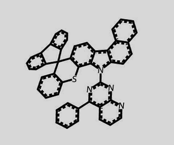 c1ccc(-c2nc(-n3c4ccc5ccccc5c4c4ccc5c(c43)Sc3ccccc3C53c4ccccc4-c4ccccc43)nc3ncccc23)cc1